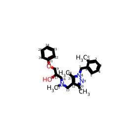 Cc1ccccc1Cn1nc(C)c(CN(C)CC(O)COc2ccccc2)c1C